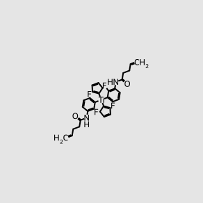 C=CCCC(=O)Nc1ccc(F)[c]([Ti]([C]2=CC=CC2)([C]2=CC=CC2)[c]2c(F)ccc(NC(=O)CCC=C)c2F)c1F